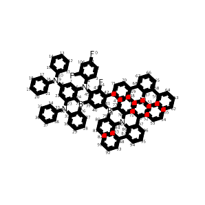 Fc1ccc(N2c3cc(N(c4ccccc4)c4ccccc4)cc4c3B(c3ccccc3N4c3ccccc3)c3cc4c(c(F)c32)Sc2cc(N(c3ccccc3)c3c(-c5ccccc5)cccc3-c3ccccc3)cc3c2B4c2ccccc2N3c2c(-c3ccccc3)cccc2-c2ccccc2)c(F)c1